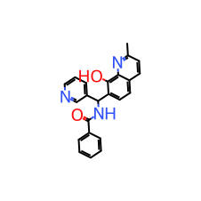 Cc1ccc2ccc(C(NC(=O)c3ccccc3)c3cccnc3)c(O)c2n1